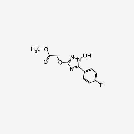 COC(=O)COc1nc(-c2ccc(F)cc2)n(O)n1